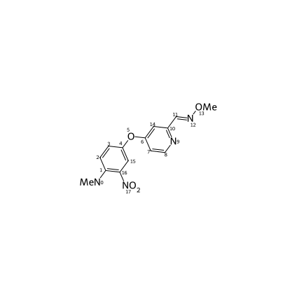 CNc1ccc(Oc2ccnc(C=NOC)c2)cc1[N+](=O)[O-]